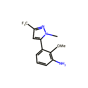 COc1c(N)cccc1-c1cc(C(F)(F)F)nn1C